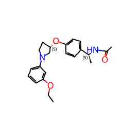 CCOc1cccc(N2CC[C@H](Oc3ccc([C@H](C)NC(C)=O)cc3)C2)c1